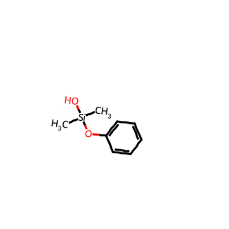 C[Si](C)(O)Oc1ccccc1